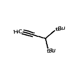 C#CC(C(C)(C)C)C(C)(C)C